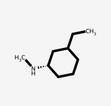 CCC1CCC[C@H](NC)C1